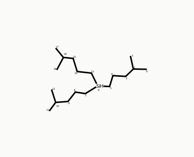 CC(C)CCC[SiH](CCCC(C)C)CCCC(C)C